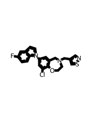 Fc1ccc2c(ccn2-c2cc(Cl)c3c(c2)CN(Cc2cnsc2)CCO3)c1